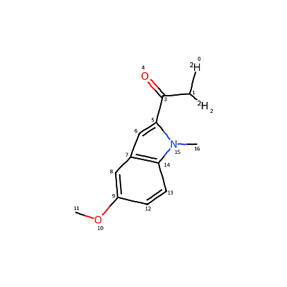 [2H]C([2H])C(=O)c1cc2cc(OC)ccc2n1C